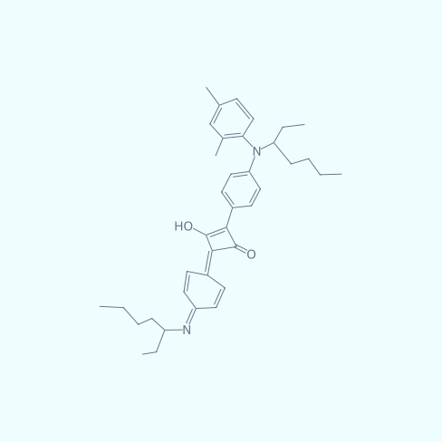 CCCCC(CC)N=C1C=CC(=C2C(=O)C(c3ccc(N(c4ccc(C)cc4C)C(CC)CCCC)cc3)=C2O)C=C1